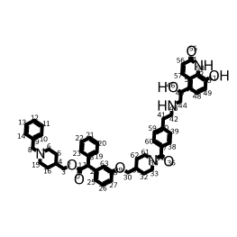 O=C(OCC1CCN(Cc2ccccc2)CC1)C(c1ccccc1)c1cccc(OCC2CCN(C(=O)c3ccc(CCNCC(O)c4ccc(O)c5[nH]c(=O)ccc45)cc3)CC2)c1